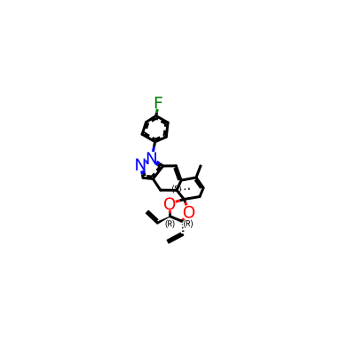 C=C[C@H]1OC2(CC=C(C)C3=Cc4c(cnn4-c4ccc(F)cc4)C[C@@]32C)O[C@@H]1C=C